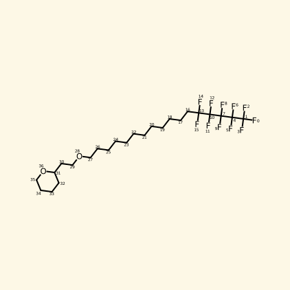 FC(F)(F)C(F)(F)C(F)(F)C(F)(F)C(F)(F)CCCCCCCCCCCCOCCC1CCCCO1